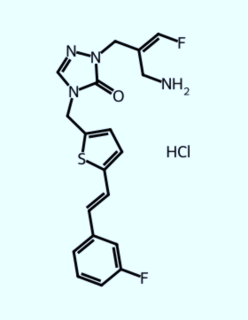 Cl.NC/C(=C\F)Cn1ncn(Cc2ccc(/C=C/c3cccc(F)c3)s2)c1=O